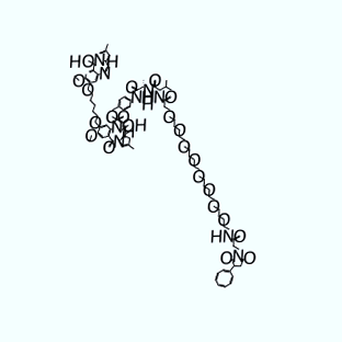 C=C1/C(=C\C(OCCCCCOc2cc3c(cc2OC)C(=O)N2C=C(C)C[C@H]2[C@H](O)N3C(=O)OCc2ccc(NC(=O)[C@H](C)NC(=O)[C@@H](NC(=O)CCOCCOCCOCCOCCOCCOCCOCCOCCNC(=O)CCN3C(=O)CC(C4=C/C=C\C=C/C=C\4)C3=O)C(C)C)cc2)=C(/C)OC)N=C[C@@H]2CC(C)=CN2C1O